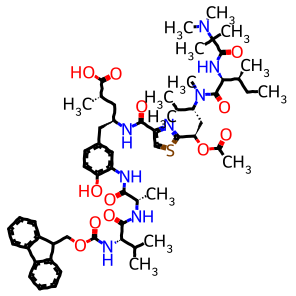 CC[C@H](C)[C@H](NC(=O)C(C)(C)N(C)C)C(=O)N(C)[C@H](C[C@@H](OC(C)=O)c1nc(C(=O)N[C@@H](Cc2ccc(O)c(NC(=O)[C@H](C)NC(=O)[C@@H](NC(=O)OCC3c4ccccc4-c4ccccc43)C(C)C)c2)C[C@H](C)C(=O)O)cs1)C(C)C